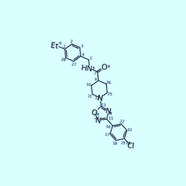 CCc1ccc(CNC(=O)C2CCN(c3nc(-c4ccc(Cl)cc4)no3)CC2)cc1